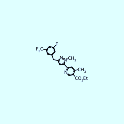 CCOC(=O)c1cnc(-c2cc(Cc3cc(F)cc(C(F)(F)F)c3)nn2C)cc1C